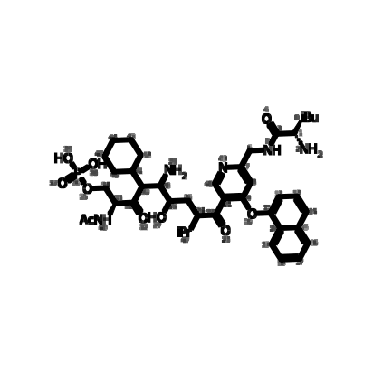 CC[C@H](C)[C@H](N)C(=O)NCc1cc(Oc2cccc3ccccc23)c(C(=O)C(CC(O)C(N)C(C(=O)[C@H](COP(=O)(O)O)NC(C)=O)C2CCCCC2)C(C)C)cn1